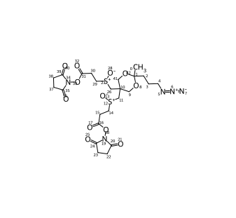 CC1(CCCN=[N+]=[N-])OCC(C[S+]([O-])CCC(=O)ON2C(=O)CCC2=O)(C[S+]([O-])CCC(=O)ON2C(=O)CCC2=O)CO1